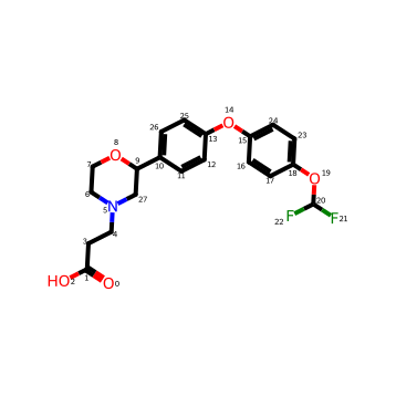 O=C(O)CCN1CCOC(c2ccc(Oc3ccc(OC(F)F)cc3)cc2)C1